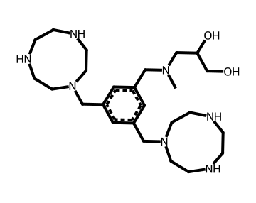 CN(Cc1cc(CN2CCNCCNCC2)cc(CN2CCNCCNCC2)c1)CC(O)CO